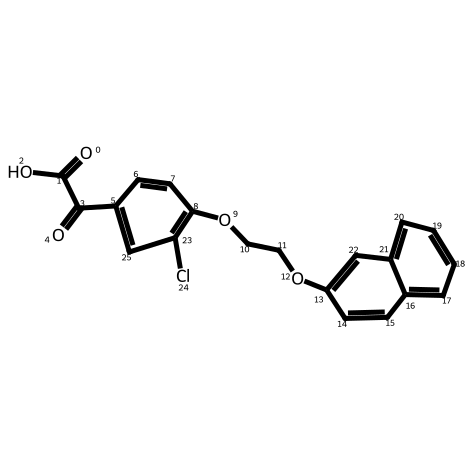 O=C(O)C(=O)c1ccc(OCCOc2ccc3ccccc3c2)c(Cl)c1